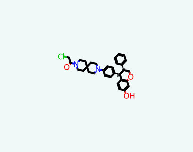 O=C(CCl)N1CCC2(CC1)CCN(c1ccc([C@@H]3c4ccc(O)cc4OC[C@@H]3c3ccccc3)cc1)CC2